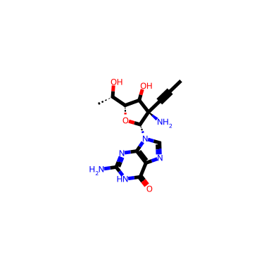 CC#C[C@@]1(N)C(O)[C@@H]([C@H](C)O)O[C@H]1n1cnc2c(=O)[nH]c(N)nc21